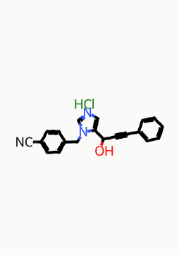 Cl.N#Cc1ccc(Cn2cncc2C(O)C#Cc2ccccc2)cc1